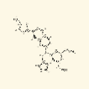 COc1cc(OC)cc(N(Cc2nnco2)c2ccc3ncc(-c4cnn(C)c4)nc3n2)c1